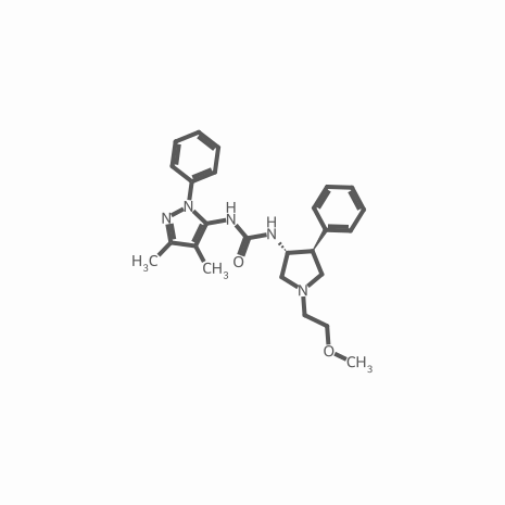 COCCN1C[C@H](NC(=O)Nc2c(C)c(C)nn2-c2ccccc2)[C@@H](c2ccccc2)C1